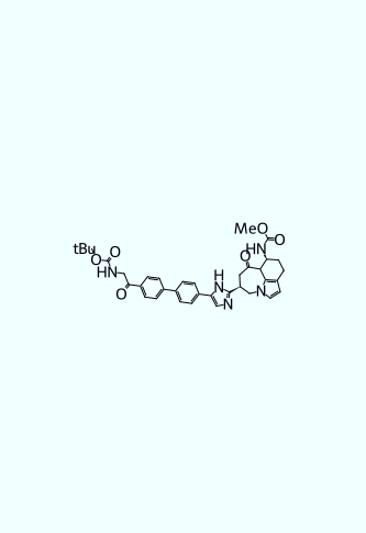 COC(=O)N[C@H]1CCc2ccn3c2C1C(=O)C[C@H](c1ncc(-c2ccc(-c4ccc(C(=O)CNC(=O)OC(C)(C)C)cc4)cc2)[nH]1)C3